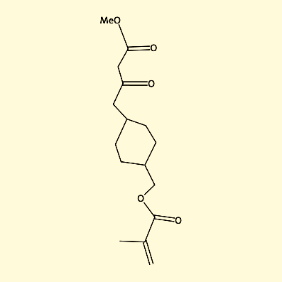 C=C(C)C(=O)OCC1CCC(CC(=O)CC(=O)OC)CC1